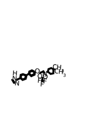 CC1(C)CCC(N(CCOc2ccc(-c3ccc(-c4ncc[nH]4)cc3)cc2)OC(=O)C(F)(F)F)CC1